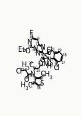 CCOc1nc(F)cc2nc(S(=O)(=O)Nc3c(Cl)cccc3Cl)nn12.COCC(C)N(C(=O)CCl)c1c(C)csc1C